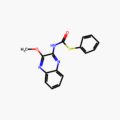 COc1nc2ccccc2nc1NC(=O)Sc1ccccc1